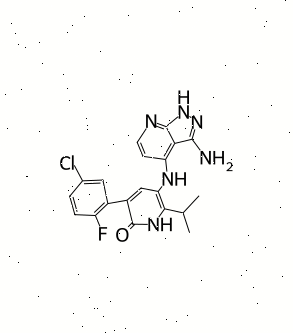 CC(C)c1[nH]c(=O)c(-c2cc(Cl)ccc2F)cc1Nc1ccnc2[nH]nc(N)c12